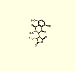 CC1C(=O)OC(=O)C1C1C(=O)c2c(O)ccc(O)c2C(=O)C1C